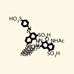 CC(=O)Nc1ccc(S(=O)(=O)O)c2c1C(=O)/C(=N/Nc1c(S(=O)(=O)O)cc(N=Nc3ccc(S(=O)(=O)O)cc3)c3ccc(S(=O)(=O)O)cc13)C(S(=O)(=O)O)=C2.[NaH].[NaH].[NaH].[NaH]